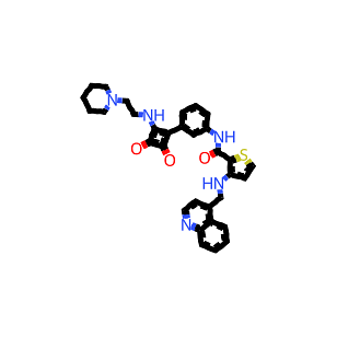 O=C(Nc1cccc(-c2c(NCCN3CCCCC3)c(=O)c2=O)c1)c1sccc1NCc1ccnc2ccccc12